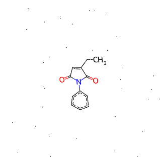 CCC1=CC(=O)N(c2ccccc2)C1=O